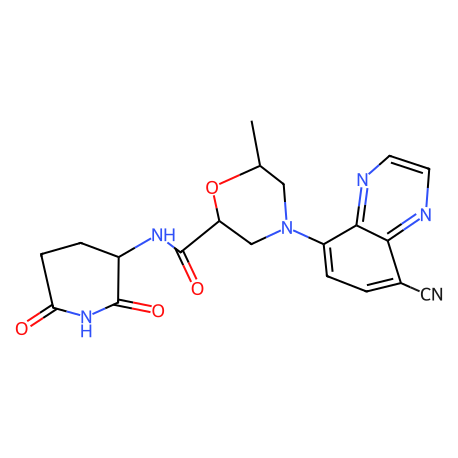 CC1CN(c2ccc(C#N)c3nccnc23)CC(C(=O)NC2CCC(=O)NC2=O)O1